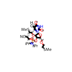 CSCCOC[C@H]1O[C@@H](n2cc(C)c(=O)[nH]c2=O)[C@H](OCCSC)[C@@H]1OP(OCCC#N)N(C(C)C)C(C)C